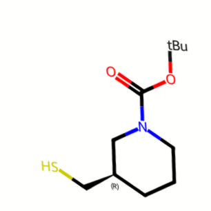 CC(C)(C)OC(=O)N1CCC[C@@H](CS)C1